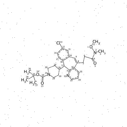 CON(C)C(=O)CCC1=Cc2cc(Cl)ccc2C(C2CCN(C(=O)OC(C)(C)C)CC2)c2ncccc21